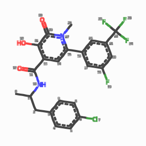 CC(Cc1ccc(Cl)cc1)NC(=O)c1cc(-c2cc(F)cc(C(F)(F)F)c2)n(C)c(=O)c1O